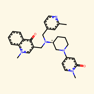 Cc1cc(CN(Cc2cn(C)c3ccccc3c2=O)[C@H]2CCCN(c3ccn(C)c(=O)c3)C2)ccn1